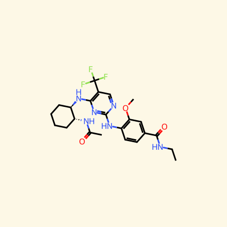 CCNC(=O)c1ccc(Nc2ncc(C(F)(F)F)c(N[C@@H]3CCCC[C@H]3NC(C)=O)n2)c(OC)c1